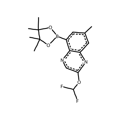 Cc1cc(B2OC(C)(C)C(C)(C)O2)c2ncc(OC(F)F)nc2c1